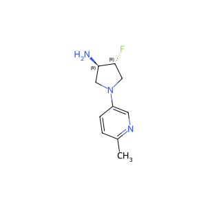 Cc1ccc(N2C[C@@H](N)[C@H](F)C2)cn1